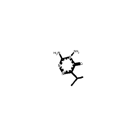 CC(C)c1nnc(N)n(N)c1=O